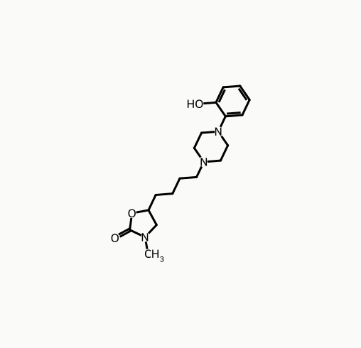 CN1CC(CCCCN2CCN(c3ccccc3O)CC2)OC1=O